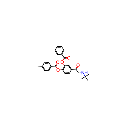 Cc1ccc(C(=O)Oc2ccc(C(=O)CNC(C)(C)C)cc2OC(=O)c2ccccc2)cc1